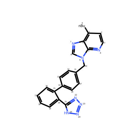 CCCCc1ccnc2c1ncn2Cc1ccc(-c2ccccc2-c2nnn[nH]2)cc1